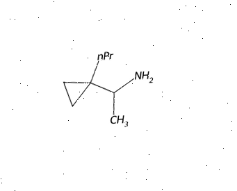 CCCC1(C(C)N)CC1